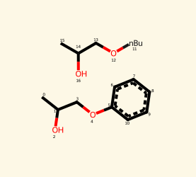 CC(O)COc1ccccc1.CCCCOCC(C)O